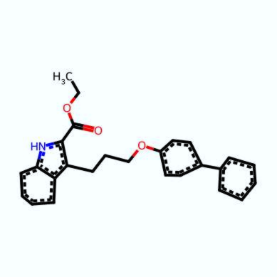 CCOC(=O)c1[nH]c2ccccc2c1CCCOc1ccc(-c2ccccc2)cc1